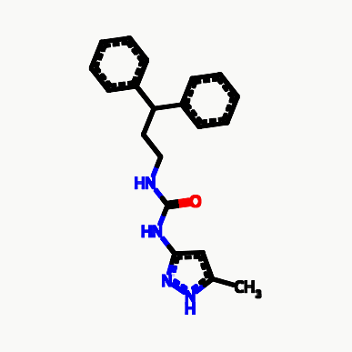 Cc1cc(NC(=O)NCCC(c2ccccc2)c2ccccc2)n[nH]1